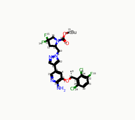 C[C@@H](Oc1cc(-c2cnn(CC3CC(F)(F)CN3C(=O)OC(C)(C)C)c2)cnc1N)c1c(Cl)ccc(F)c1Cl